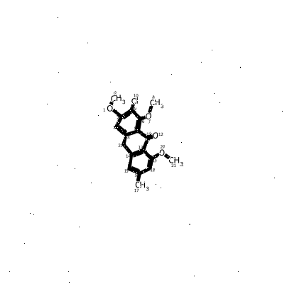 COc1cc2c(c(OC)c1Cl)C(=O)c1c(cc(C)cc1OC)C2